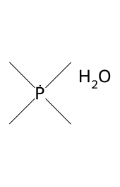 C[P](C)(C)C.O